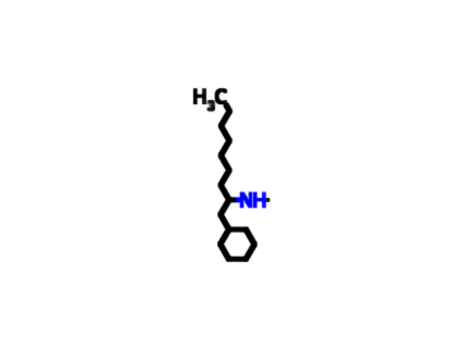 CCCCCCCC([NH])CC1CCCCC1